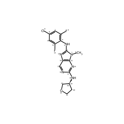 Cn1c(Nc2c(F)cc(Cl)cc2F)nc2cnc(N[C@H]3CCOC3)nc21